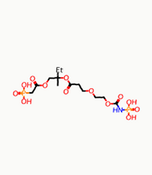 CCC(C)(COC(=O)CP(=O)(O)O)OC(=O)CCOCCOC(=O)NP(=O)(O)O